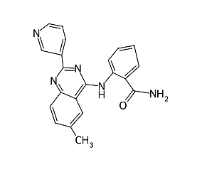 Cc1ccc2nc(-c3cccnc3)nc(Nc3ccccc3C(N)=O)c2c1